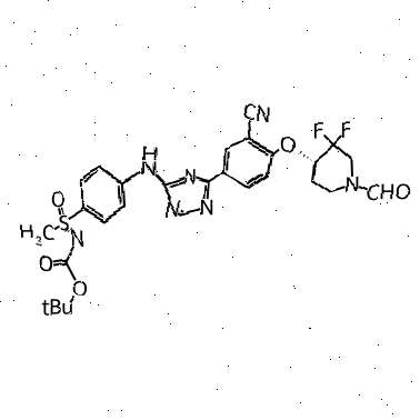 CC(C)(C)OC(=O)N=S(C)(=O)c1ccc(Nc2ncnc(-c3ccc(O[C@H]4CCN(C=O)CC4(F)F)c(C#N)c3)n2)cc1